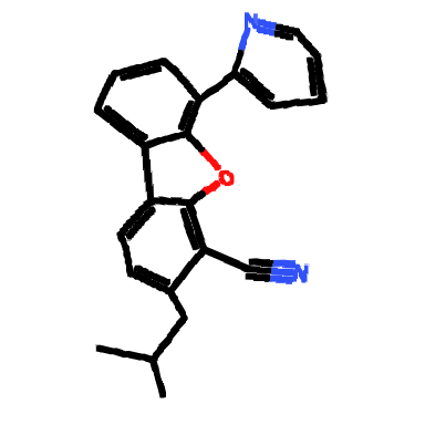 CC(C)Cc1ccc2c(oc3c(-c4ccccn4)cccc32)c1C#N